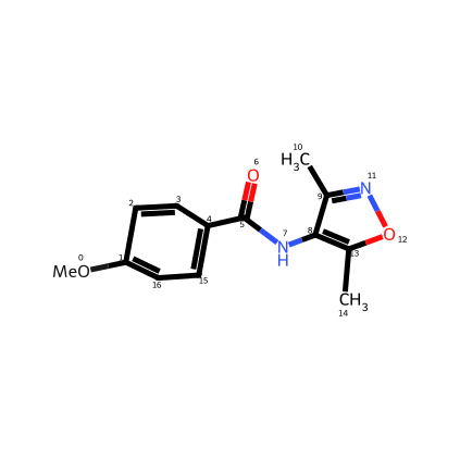 COc1ccc(C(=O)Nc2c(C)noc2C)cc1